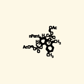 C=C(C)C1CCC(C)=CC1C1=C(OP(C)(=O)OCOC(C)=O)C=C(CCCCC)CC1OP(C)(=O)OCOC(C)=O